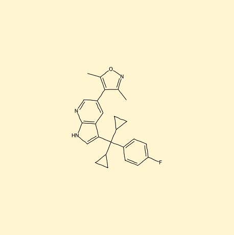 Cc1noc(C)c1-c1cnc2[nH]cc(C(c3ccc(F)cc3)(C3CC3)C3CC3)c2c1